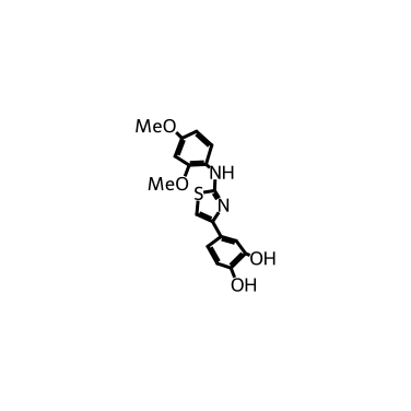 COc1ccc(Nc2nc(-c3ccc(O)c(O)c3)cs2)c(OC)c1